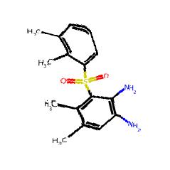 Cc1cccc(S(=O)(=O)c2c(C)c(C)cc(N)c2N)c1C